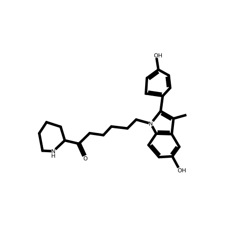 Cc1c(-c2ccc(O)cc2)n(CCCCCC(=O)C2CCCCN2)c2ccc(O)cc12